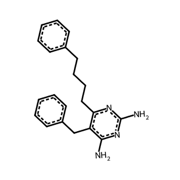 Nc1nc(N)c(Cc2ccccc2)c(CCCCc2ccccc2)n1